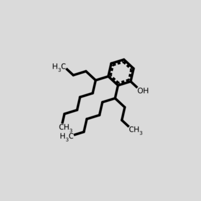 CCCCCC(CCC)c1cccc(O)c1C(CCC)CCCCC